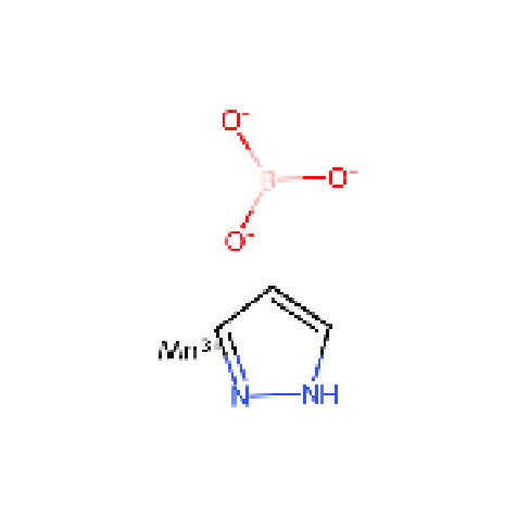 [Mn+3].[O-]B([O-])[O-].c1cn[nH]c1